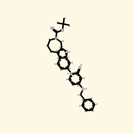 CC(C)(C)OC(=O)N1CCCc2c(sc3cc(-n4ccc(OCc5ccccc5)cc4=O)ccc23)C1